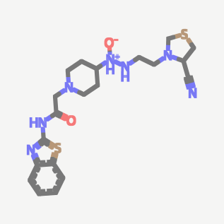 N#CC1CSCN1CCN[NH+]([O-])C1CCN(CC(=O)Nc2nc3ccccc3s2)CC1